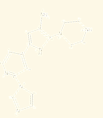 Nc1cc(-c2ccnc(-n3ccnc3)c2)[nH]c1N1CCNCC1